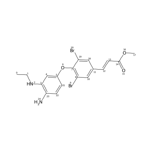 CCNc1cc(Oc2c(Br)cc(/C=C/C(=O)OC)cc2Br)ccc1N